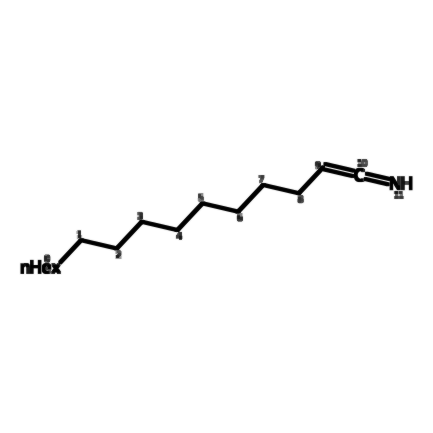 CCCCCCCCCCCCCCC=C=N